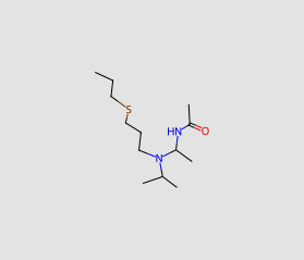 CCCSCCCN(C(C)C)C(C)NC(C)=O